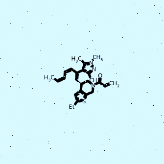 C=CC(=O)N1Cc2sc(CC)cc2[C@@H](/C=C(/C=C\C=C/C)c2c(C)nn(C)c2C)C1